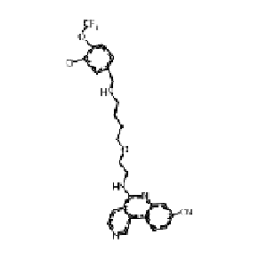 N#Cc1ccc2c(c1)nc(NCCOCCCCNCc1ccc(OC(F)(F)F)c(Cl)c1)c1ccncc12